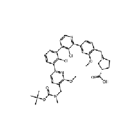 COc1cc(-c2nccc(-c3cccc(-c4ccc(CN(C)C(=O)OC(C)(C)C)c(OC)n4)c3Cl)c2Cl)ccc1CN1CC[C@H](C(=O)O)C1